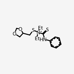 CC[N+](CC)(SCC1COCO1)C(=S)Nc1ccccc1